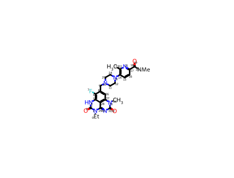 CCN1C(=O)Nc2c(F)c(CN3CCN(c4ccc(C(=O)NC)nc4C)CC3)cc3c2c1nc(=O)n3C